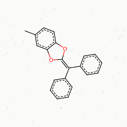 Cc1ccc2c(c1)OC(=C(c1ccccc1)c1ccccc1)O2